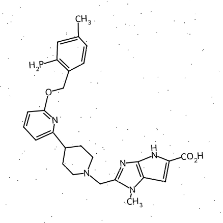 Cc1ccc(COc2cccc(C3CCN(Cc4nc5[nH]c(C(=O)O)cc5n4C)CC3)n2)c(P)c1